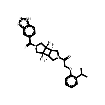 CC(C)c1ccccc1OCC(=O)N1C[C@@H]2[C@H](C1)[C@H]1CN(C(=O)c3ccc4[nH]nnc4c3)C[C@@H]21